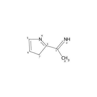 CC(=N)C1=NC=CC1